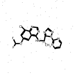 C[C@H](Nc1ncnc2c(Cl)cc(OC(F)F)cc12)c1ncnn1-c1ncccn1